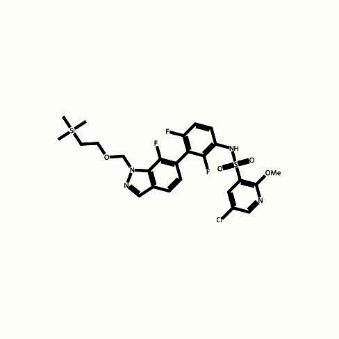 COc1ncc(Cl)cc1S(=O)(=O)Nc1ccc(F)c(-c2ccc3cnn(COCC[Si](C)(C)C)c3c2F)c1F